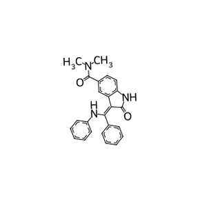 CN(C)C(=O)c1ccc2c(c1)C(=C(Nc1ccccc1)c1ccccc1)C(=O)N2